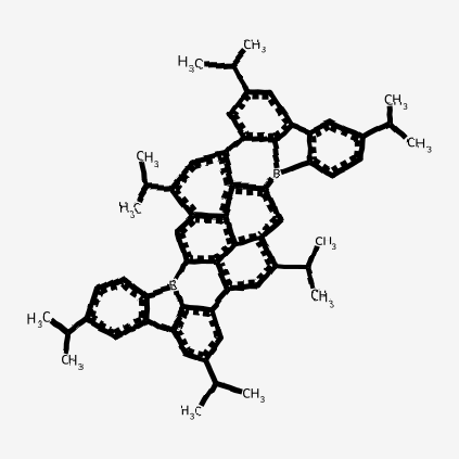 CC(C)c1ccc2c(c1)-c1cc(C(C)C)cc3c1B2c1cc2c(C(C)C)cc4c5c(cc6c(C(C)C)cc-3c1c6c25)B1c2ccc(C(C)C)cc2-c2cc(C(C)C)cc-4c21